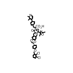 Cc1nc(C(=O)N2Cc3cc4c(cc3C[C@H]2C(=O)NC(Cc2ccc(-c3ccnc(C)c3C)cc2)C(=O)O)OC[C@H](c2ccc(OCc3cccc(Cl)c3Cl)cc2)O4)c(C)o1